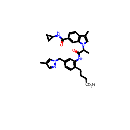 Cc1cnn(Cc2ccc(CCCC(=O)O)c(NC(=O)C(C)n3cc(C)c4ccc(C(=O)NC5CC5)cc43)c2)c1